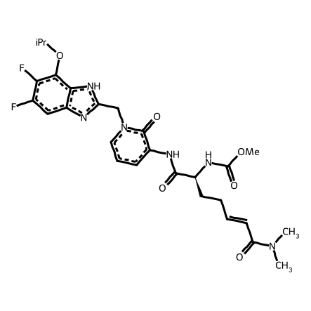 COC(=O)N[C@@H](CC/C=C/C(=O)N(C)C)C(=O)Nc1cccn(Cc2nc3cc(F)c(F)c(OC(C)C)c3[nH]2)c1=O